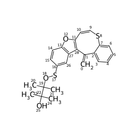 C=C1c2ccccc2S/C=C\c2oc3ccc(SOC(C)(C)C(C)(C)O)cc3c21